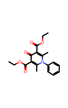 CCOC(=O)c1c(C)n(-c2ccccc2)c(C)c(C(=O)OCC)c1=O